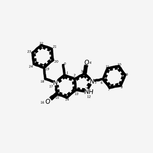 Cc1c2c(=O)n(-c3ccccc3)[nH]c2cc(=O)n1Cc1ccccc1